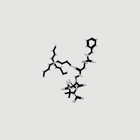 CC1(C)[C@H](C(=O)[O-])N2C(=O)[C@H](COC(=O)CNC(=O)OCc3ccccc3)[C@H]2S1(=O)=O.CCCC[N+](CCCC)(CCCC)CCCC